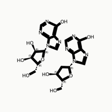 OC[C@H]1O[C@@H](n2cnc3c(O)ncnc32)C[C@@H]1O.OC[C@H]1O[C@@H](n2cnc3c(O)ncnc32)[C@H](O)[C@@H]1O